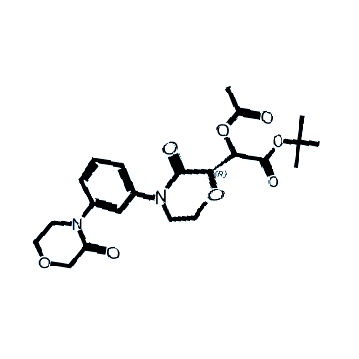 CC(=O)OC(C(=O)OC(C)(C)C)[C@H]1OCCN(c2cccc(N3CCOCC3=O)c2)C1=O